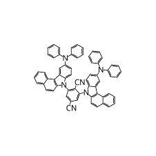 N#Cc1cc(-n2c3ccc(N(c4ccccc4)c4ccccc4)cc3c3c4ccccc4ccc32)c(C#N)c(-n2c3ccc(N(c4ccccc4)c4ccccc4)cc3c3c4ccccc4ccc32)c1